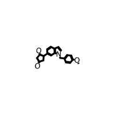 COc1ccc(Cn2ccc3ccc(C4CC(=O)CC4=O)cc32)cc1